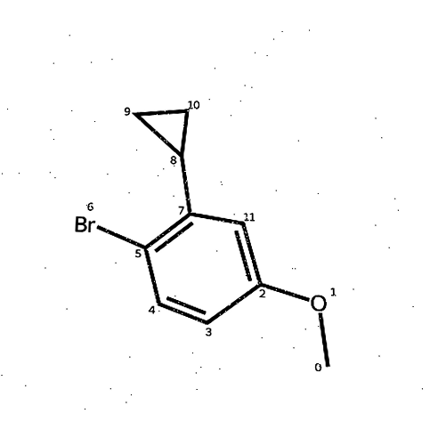 COc1ccc(Br)c(C2CC2)c1